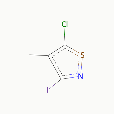 Cc1c(I)nsc1Cl